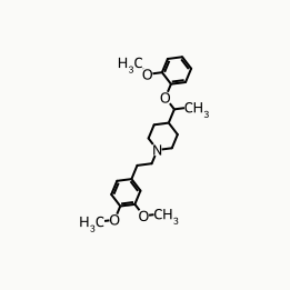 COc1ccc(CCN2CCC(C(C)Oc3ccccc3OC)CC2)cc1OC